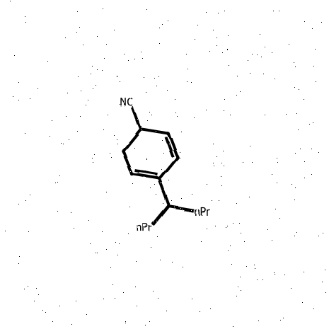 CCCC(CCC)C1=CCC(C#N)C=C1